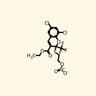 CCOC(=O)C1=Cc2cc(Cl)cc(Cl)c2OC1(SCCO[N+](=O)[O-])C(F)(F)F